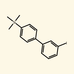 C[Si](C)(C)c1ccc(-c2cccc(I)c2)cc1